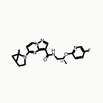 C[C@@H](CNC(=O)c1cnn2ccc(N3CCC4CC43C)nc12)Oc1ccc(F)cn1